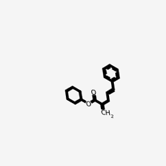 C=C(CC=Cc1ccccc1)C(=O)OC1CCCCC1